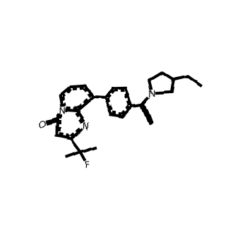 C=C(c1ccc(-c2cccn3c(=O)cc(C(C)(C)F)nc23)cc1)N1CCC(CC)C1